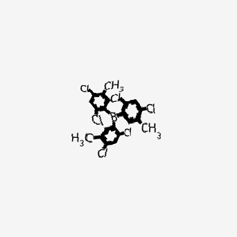 Cc1cc(B(c2cc(C)c(Cl)cc2Cl)c2cc(C)c(Cl)cc2Cl)c(Cl)cc1Cl